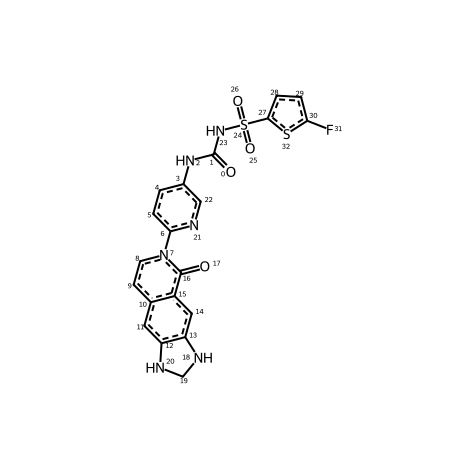 O=C(Nc1ccc(-n2ccc3cc4c(cc3c2=O)NCN4)nc1)NS(=O)(=O)c1ccc(F)s1